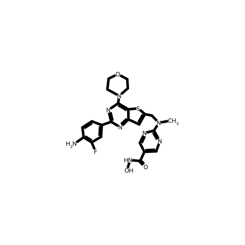 CN(Cc1cc2nc(-c3ccc(N)c(F)c3)nc(N3CCOCC3)c2s1)c1ncc(C(=O)NO)cn1